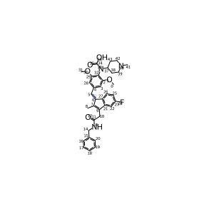 COc1cc(/C=C2/C(C)=C(CC(=O)NCc3ccccc3)c3cc(F)ccc32)cc(OC)c1N(C(=O)O)C1CCN(C)CC1